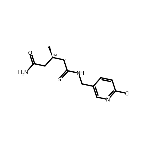 C[C@@H]([CH]C(=S)NCc1ccc(Cl)nc1)CC(N)=O